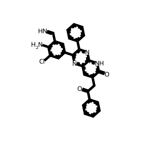 N=Cc1cc(-c2nc3cc(CC(=O)c4ccccc4)c(=O)[nH]c3nc2-c2ccccc2)cc(Cl)c1N